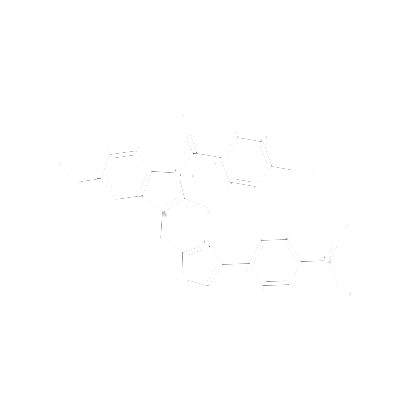 COc1ccc2c(c1)c(Cc1nc(-c3ccc([N+](=O)[O-])cc3)cs1)c(C)n2C(=O)c1ccc(Cl)cc1